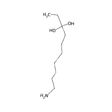 CCC(O)(O)CCCCCCCN